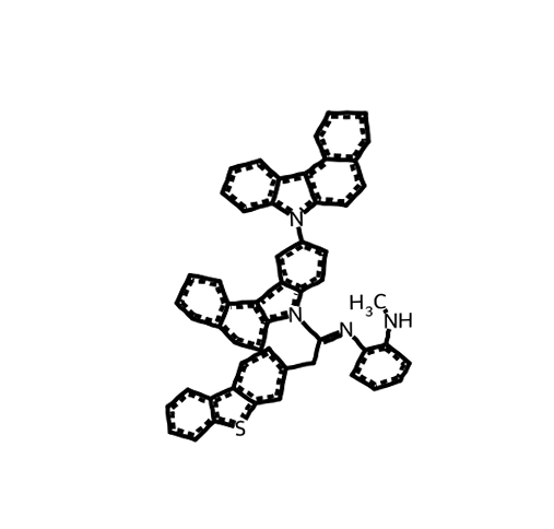 CNc1ccccc1/N=C(\Cc1ccc2c(c1)sc1ccccc12)n1c2ccc(-n3c4ccccc4c4c5ccccc5ccc43)cc2c2c3ccccc3ccc21